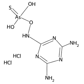 Cl.Cl.Nc1nc(N)nc(NO[As](O)(O)=S)n1